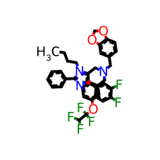 CCCCn1c(-c2ccccc2)nc(-c2ccc(F)c(F)c2)c1CN(Cc1cccc(OC(F)(F)C(F)F)c1)Cc1ccc2c(c1)OCO2